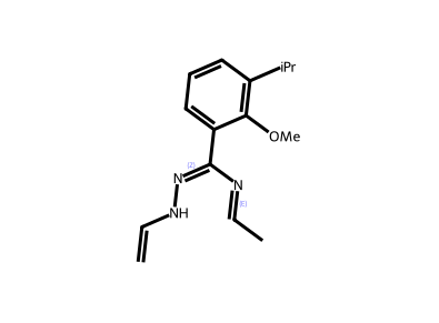 C=CN/N=C(\N=C\C)c1cccc(C(C)C)c1OC